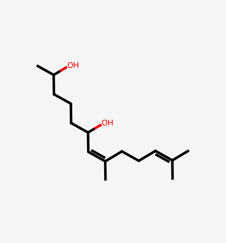 CC(C)=CCC/C(C)=C\C(O)CCCC(C)O